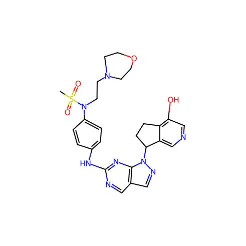 CS(=O)(=O)N(CCN1CCOCC1)c1ccc(Nc2ncc3cnn(C4CCc5c(O)cncc54)c3n2)cc1